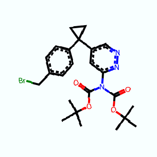 CC(C)(C)OC(=O)N(C(=O)OC(C)(C)C)c1cc(C2(c3ccc(CBr)cc3)CC2)cnn1